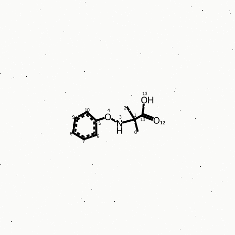 CC(C)(NOc1ccccc1)C(=O)O